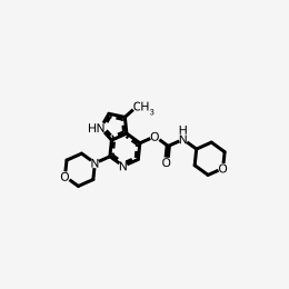 Cc1c[nH]c2c(N3CCOCC3)ncc(OC(=O)NC3CCOCC3)c12